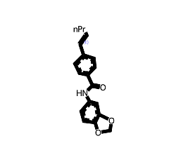 CCC/C=C/c1ccc(C(=O)Nc2ccc3c(c2)OCO3)cc1